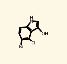 Oc1c[nH]c2ccc(Br)c(Cl)c12